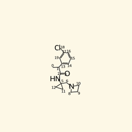 CC(C(=O)NC1(CN2CCC2)CC1)c1cccc(Cl)c1